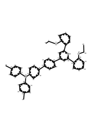 CCOc1ccccc1-c1cc(-c2ccc(-c3ccc(N(c4ccc(C)cc4)c4ccc(C)cc4)cc3)cc2)cc(-c2ccccc2OCC)n1